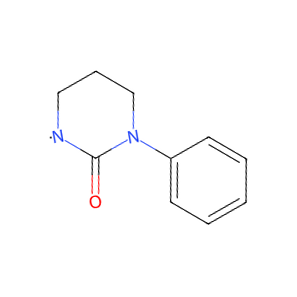 O=C1[N]CCCN1c1ccccc1